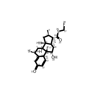 C[C@@H]1C[C@H]2[C@@H]3C[C@H](F)C4=CC(=O)C=C[C@]4(C)C3(F)[C@@H](O)C[C@]2(C)[C@H]1C(=O)SCF